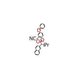 CC(C)C(C(=O)OC(C#N)c1cccc(Oc2ccccc2)c1)c1ccc2ccccc2c1